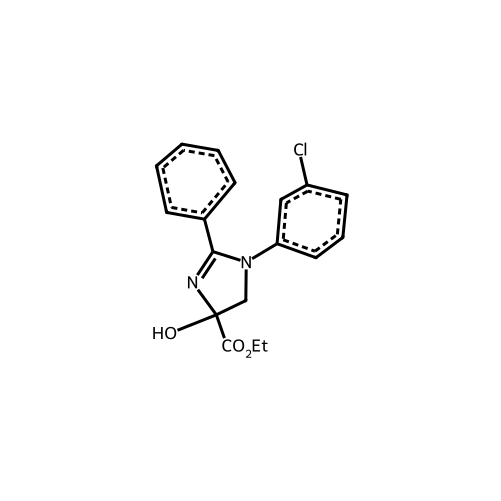 CCOC(=O)C1(O)CN(c2cccc(Cl)c2)C(c2ccccc2)=N1